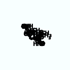 CC(C)(C)OC(=O)N[C@@H](Cc1c[nH]c2ccccc12)C(=O)NCC/C=C\CCNC(=O)[C@H](Cc1c[nH]c2ccccc12)NC(=O)OC(C)(C)C